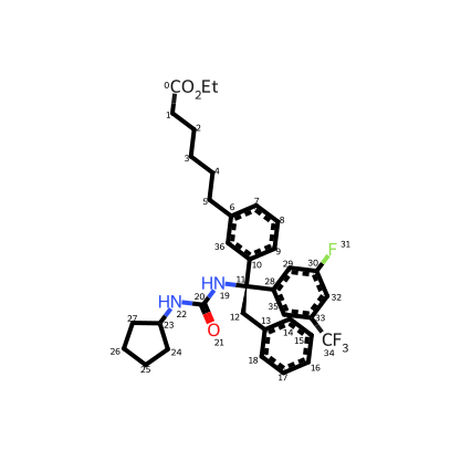 CCOC(=O)CCCCCc1cccc([C@@](Cc2ccccc2)(NC(=O)NC2CCCC2)c2cc(F)cc(C(F)(F)F)c2)c1